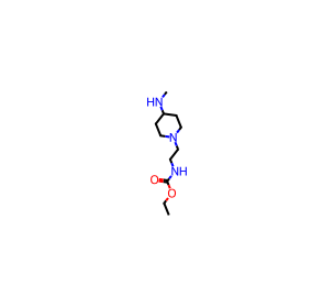 CCOC(=O)NCCN1CCC(NC)CC1